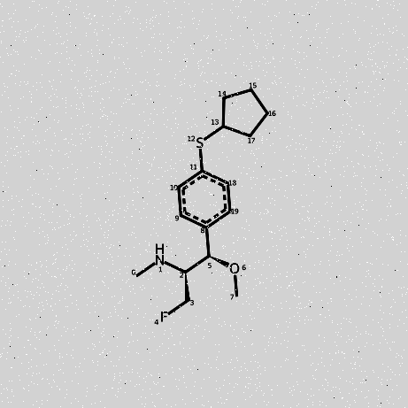 CN[C@H](CF)[C@H](OC)c1ccc(SC2CCCC2)cc1